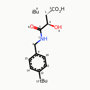 CC[C@H](C)[C@H](C(=O)O)[C@@H](O)C(=O)NCc1ccc(C(C)(C)C)cc1